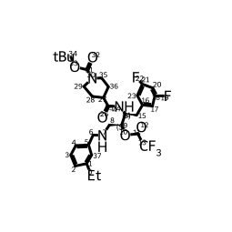 CCc1cccc(CNC[C@H](OC(=O)C(F)(F)F)[C@H](Cc2cc(F)cc(F)c2)NC(=O)C2CCN(C(=O)OC(C)(C)C)CC2)c1